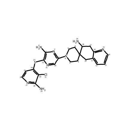 Nc1nc(N2CCC3(CC2)Cc2cccnc2CC3N)cnc1Sc1ccnc(N)c1Cl